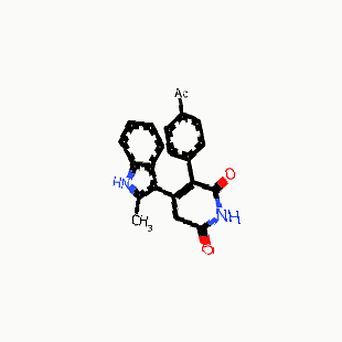 CC(=O)c1ccc(C2=C(c3c(C)[nH]c4ccccc34)CC(=O)NC2=O)cc1